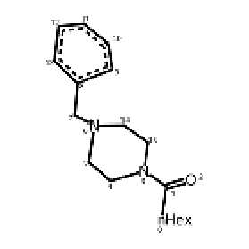 [CH2]CCCCCC(=O)N1CCN(Cc2ccccc2)CC1